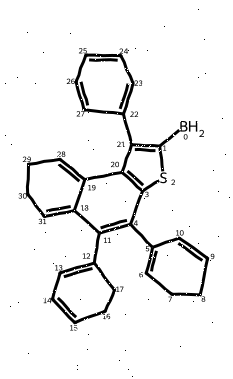 Bc1sc2c(C3=CCCC=C3)c(C3=CC=CCC3)c3c(c2c1-c1ccccc1)=CCCC=3